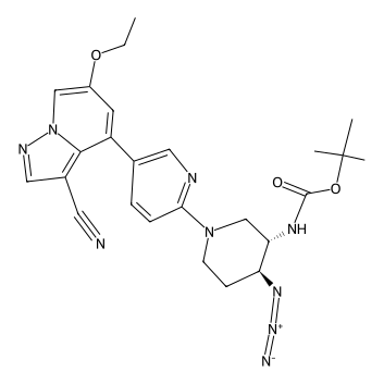 CCOc1cc(-c2ccc(N3CC[C@H](N=[N+]=[N-])[C@@H](NC(=O)OC(C)(C)C)C3)nc2)c2c(C#N)cnn2c1